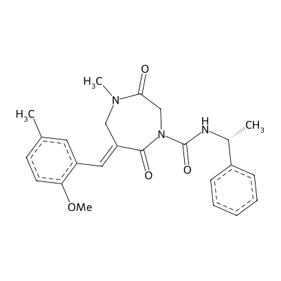 COc1ccc(C)cc1/C=C1\CN(C)C(=O)CN(C(=O)N[C@H](C)c2ccccc2)C1=O